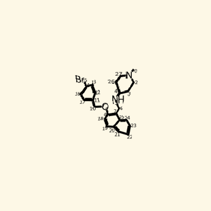 CN1CCC(NCc2c(OCc3ccc(Br)cc3)ccc3ccccc23)CC1